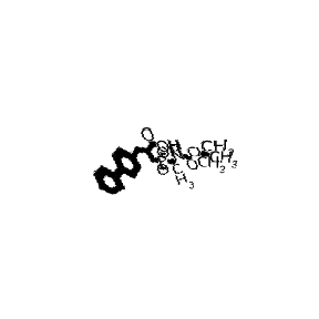 C[C@H](NC(=O)OC(C)(C)C)P(=O)(O)CC(Cc1ccc(-c2ccccc2)cc1)C(=O)O